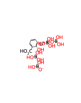 O=C(O)c1ccccc1O.OB(O)O.OB(O)O.OB(O)O.[Li+].[O-]B(O)O